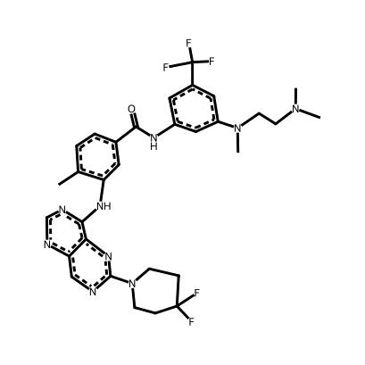 Cc1ccc(C(=O)Nc2cc(N(C)CCN(C)C)cc(C(F)(F)F)c2)cc1Nc1ncnc2cnc(N3CCC(F)(F)CC3)nc12